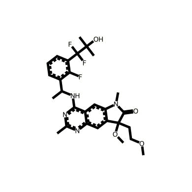 COCCC1(OC)C(=O)N(C)c2cc3c(NC(C)c4cccc(C(F)(F)C(C)(C)O)c4F)nc(C)nc3cc21